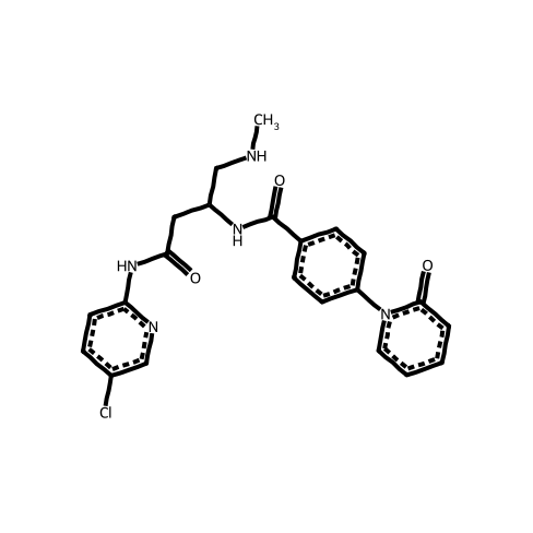 CNCC(CC(=O)Nc1ccc(Cl)cn1)NC(=O)c1ccc(-n2ccccc2=O)cc1